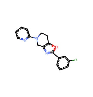 Clc1cccc(-c2nc3c(o2)CCN(c2ccccn2)C3)c1